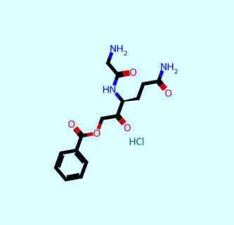 Cl.NCC(=O)N[C@@H](CCC(N)=O)C(=O)COC(=O)c1ccccc1